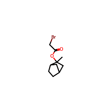 CC1(OC(=O)CBr)CC2CCC1C2